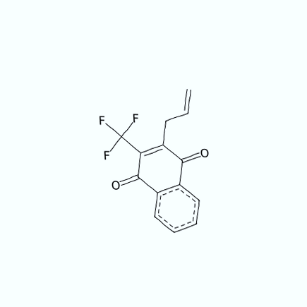 C=CCC1=C(C(F)(F)F)C(=O)c2ccccc2C1=O